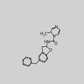 CC1C=NC=CN1C(=O)NC1Cc2cc(Cc3ccccc3)ccc2O1